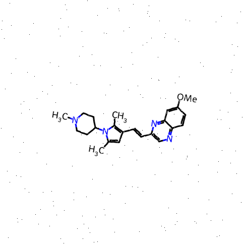 COc1ccc2ncc(C=Cc3cc(C)n(C4CCN(C)CC4)c3C)nc2c1